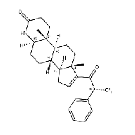 C[C@]12CCC(=O)N[C@@H]1CC[C@@H]1[C@@H]2CC[C@]2(C)C(C(=O)[C@@H](c3ccccc3)C(F)(F)F)=CC[C@@H]12